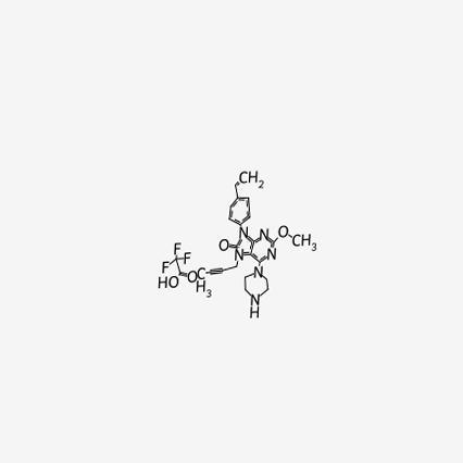 C=Cc1ccc(-n2c(=O)n(CC#CC)c3c(N4CCNCC4)nc(OC)nc32)cc1.O=C(O)C(F)(F)F